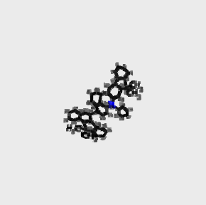 CC1(C)c2ccccc2-c2ccc(N(c3ccccc3)c3ccc(-c4cc5ccccc5c5c4-c4ccccc4C5(C)C)c4ccccc34)cc21